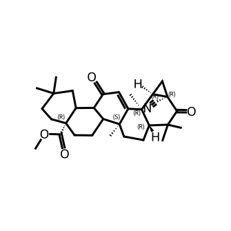 COC(=O)[C@@]12CCC3C(C(=O)C=C4[C@@]5(C)[C@H]6C[C@@]6(C#N)C(=O)C(C)(C)[C@@H]5CC[C@]43C)C1CC(C)(C)CC2